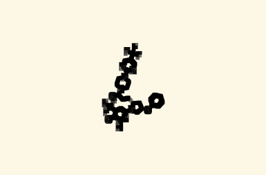 O=C(/C=C/[C@@H]1C[C@H](Oc2ccccc2)CN1c1cc(C(F)(F)F)c(=O)[nH]n1)N1CCN(c2ncc(C(F)(F)F)cn2)CC1